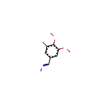 COc1cc(C=NN)cc(I)c1OC